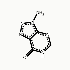 Nn1nnc2c(=O)[nH]cnc21